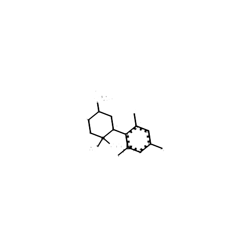 CCOC(=O)C1(C(C)=O)CCC(OC)CC1c1c(C)cc(C)cc1C